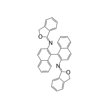 c1ccc2c(c1)COC2=Nc1ccc2ccccc2c1-c1c(N=C2OCc3ccccc32)ccc2ccccc12